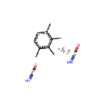 C.C.Cc1ccc(C)c(C)c1C.N=C=O.N=C=O